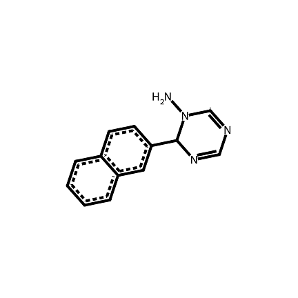 NN1[C]=NC=NC1c1ccc2ccccc2c1